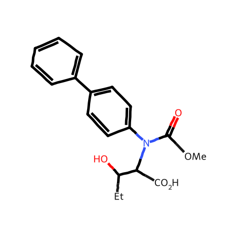 CCC(O)C(C(=O)O)N(C(=O)OC)c1ccc(-c2ccccc2)cc1